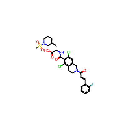 CS(=O)(=O)N1CCC=C(C[C@H](NC(=O)c2c(Cl)cc3c(c2Cl)CCN(C(=O)/C=C/c2ccccc2F)C3)C(=O)O)C1